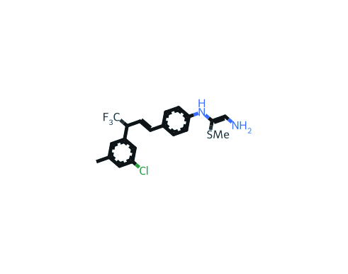 CS/C(=C\N)Nc1ccc(/C=C/C(c2cc(C)cc(Cl)c2)C(F)(F)F)cc1